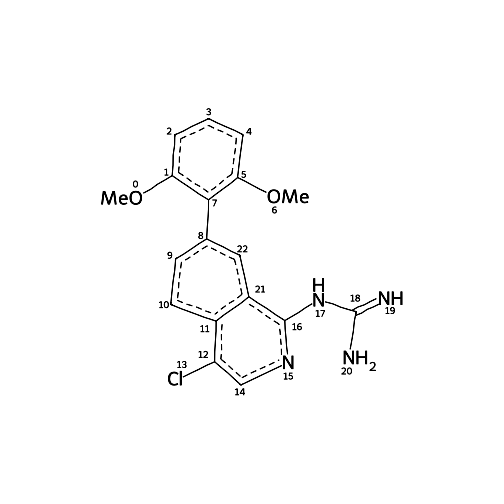 COc1cccc(OC)c1-c1ccc2c(Cl)cnc(NC(=N)N)c2c1